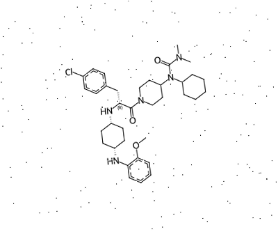 COc1ccccc1N[C@H]1CC[C@@H](N[C@H](Cc2ccc(Cl)cc2)C(=O)N2CCC(N(C(=O)N(C)C)C3CCCCC3)CC2)CC1